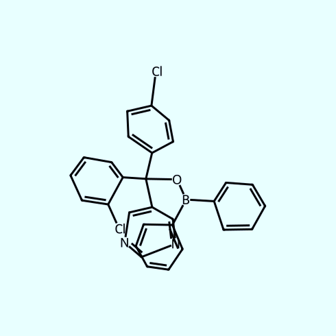 Clc1ccc(C(OB(c2ccccc2)c2ccccc2)(c2cncnc2)c2ccccc2Cl)cc1